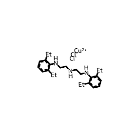 CCc1cccc(CC)c1NCCNCCNc1c(CC)cccc1CC.[Cl-].[Cl-].[Cu+2]